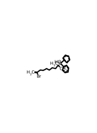 C=C(Br)CCCCCCC(C)(C)[Si](O)(c1ccccc1)c1ccccc1